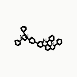 c1ccc(-c2cc(-c3ccc(-c4ccc5c(c4)nc(-c4ccccc4)c4c5ccc5ccc(-c6ccccc6)nc54)cc3)nc(-c3ccccc3)n2)cc1